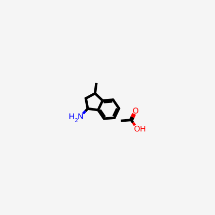 CC(=O)O.CC1CC(N)c2ccccc21